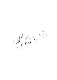 CN(/C(=N\C(=C/C=O)N1CCC2(CCOC2)CC1)C(F)F)c1cccc(Cl)c1Cl